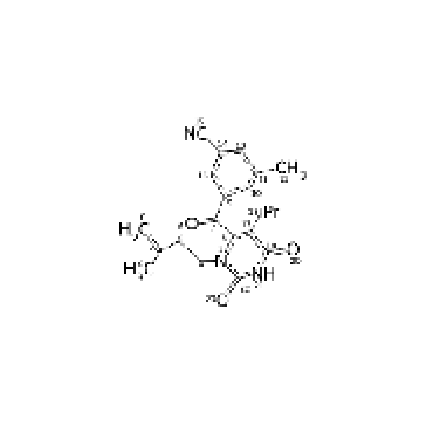 C=C(C)CCn1c(C(=O)c2cc(C)cc(C#N)c2)c(C(C)C)c(=O)[nH]c1=O